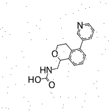 O=C(O)NCC1OCCc2c(-c3cccnc3)cccc21